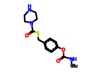 CC(C)(C)NC(=O)Oc1ccc(CSC(=O)N2CCNCC2)cc1